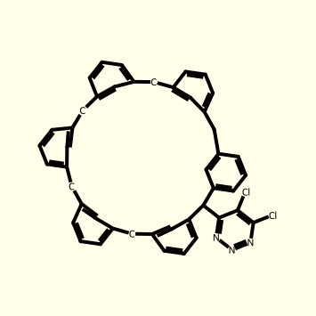 Clc1nnnc(C2c3cccc(c3)Cc3cccc(c3)Cc3cccc(c3)Cc3cccc(c3)Cc3cccc(c3)Cc3cccc2c3)c1Cl